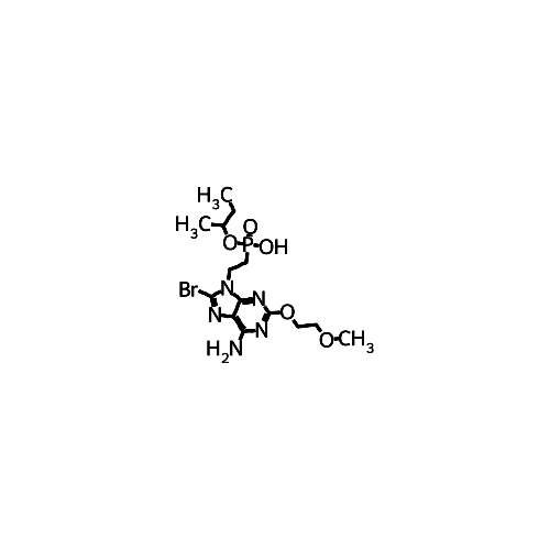 CCC(C)OP(=O)(O)CCn1c(Br)nc2c(N)nc(OCCOC)nc21